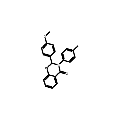 COc1ccc(C2Nc3ccccc3C(=O)N2c2ccc(C)cc2)cc1